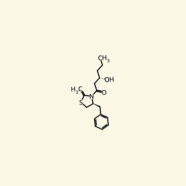 C=C1SC[C@H](Cc2ccccc2)N1C(=O)C[C@@H](O)CCC